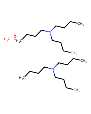 CCCCN(CCCC)CCCC.CCCCN(CCCC)CCCC.O.O